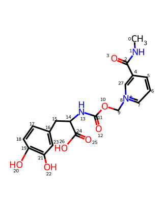 CNC(=O)c1ccc[n+](COC(=O)NC(Cc2ccc(O)c(O)c2)C(=O)O)c1